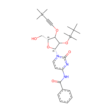 CC(C)(C)[Si](C)(C)OC1C(OC#C[Si](C)(C)C)[C@@H](CO)O[C@H]1n1ccc(NC(=O)c2ccccc2)nc1=O